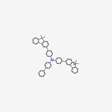 CC1(C)c2ccccc2-c2cc(-c3ccc(N(c4ccc(-c5ccccc5)cc4)c4ccc(-c5ccc6c(c5)-c5ccccc5[Si]6(C)C)cc4)cc3)ccc21